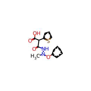 CN(NC(=O)C(C(=O)O)c1cccs1)Oc1ccccc1